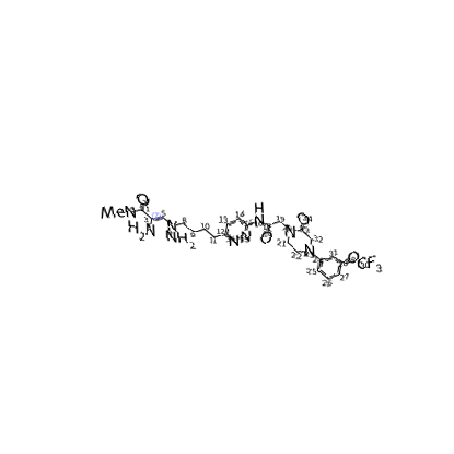 CNC(=O)/C(N)=C/N(N)CCCCc1ccc(NC(=O)CN2CCN(c3cccc(OC(F)(F)F)c3)CC2=O)nn1